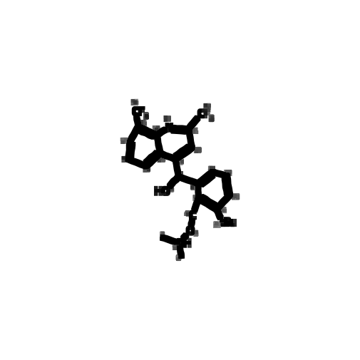 C[SiH](C)OCc1c(C(O)c2cc(C(F)(F)F)nc3c(C(F)(F)F)cccc23)cccc1C(C)(C)C